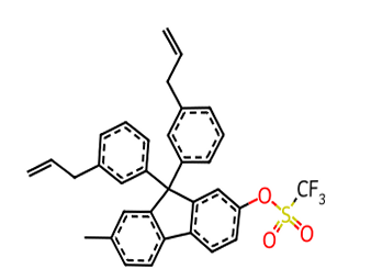 C=CCc1cccc(C2(c3cccc(CC=C)c3)c3cc(C)ccc3-c3ccc(OS(=O)(=O)C(F)(F)F)cc32)c1